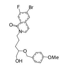 COc1ccc(COC(CO)CCCn2ccc3cc(Br)c(F)cc3c2=O)cc1